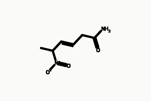 CC(/C=C/CC(N)=O)[N+](=O)[O-]